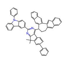 CC1(C)c2cc(-c3ccccc3)ccc2-c2c(C3CCc4cc5ccccc5cc4-c4cc5ccccc5cc43)nc(-c3ccc4c(c3)c3ccccc3n4-c3ccccc3)nc21